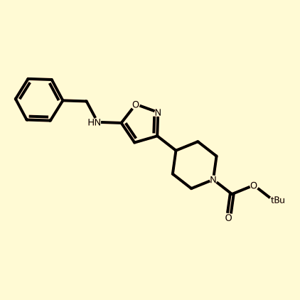 CC(C)(C)OC(=O)N1CCC(c2cc(NCc3ccccc3)on2)CC1